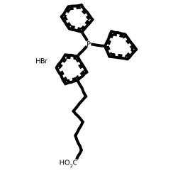 Br.O=C(O)CCCCCc1cccc(P(c2ccccc2)c2ccccc2)c1